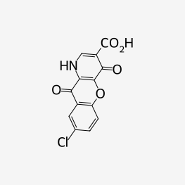 O=C(O)c1c[nH]c2c(=O)c3cc(Cl)ccc3oc2c1=O